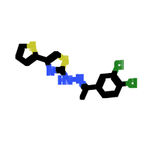 C/C(=N\Nc1nc(-c2cccs2)cs1)c1ccc(Cl)c(Cl)c1